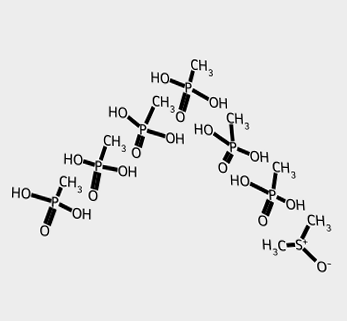 CP(=O)(O)O.CP(=O)(O)O.CP(=O)(O)O.CP(=O)(O)O.CP(=O)(O)O.CP(=O)(O)O.C[S+](C)[O-]